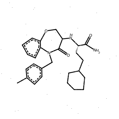 Cc1ccc(CN2C(=O)C(N[C@@H](CCC3CCCCC3)C(N)=O)COc3ccccc32)cc1